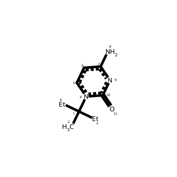 CCC(C)(CC)n1ccc(N)nc1=O